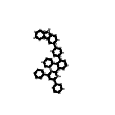 c1ccc(-c2cc(-c3ccccc3)nc(-c3cccc(-c4ccc(-c5ccc6oc7ccccc7c6c5)cc4)c3-c3ccccc3)n2)cc1